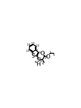 CCOC(=O)C(C)[Si@H](C)c1cc2ccccc2s1